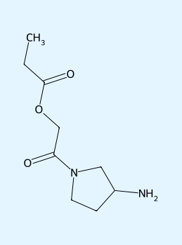 CCC(=O)OCC(=O)N1CCC(N)C1